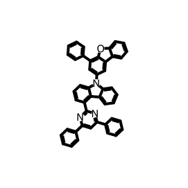 c1ccc(-c2cc(-c3ccccc3)nc(-c3cccc4c3c3ccccc3n4-c3cc(-c4ccccc4)c4oc5ccccc5c4c3)n2)cc1